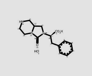 Cl.O=C(O)[C@@H](Cc1ccccc1)N1CC2CNCCN2C1=O